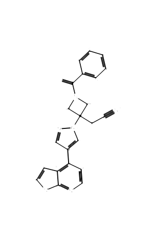 N#CCC1(n2cc(-c3ccnc4[nH]ccc34)cn2)CN(C(=O)c2ccccc2)C1